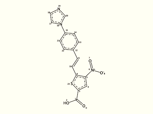 O=C(O)c1cc([N+](=O)[O-])c(C=Cc2ccc(-n3ccnc3)cc2)s1